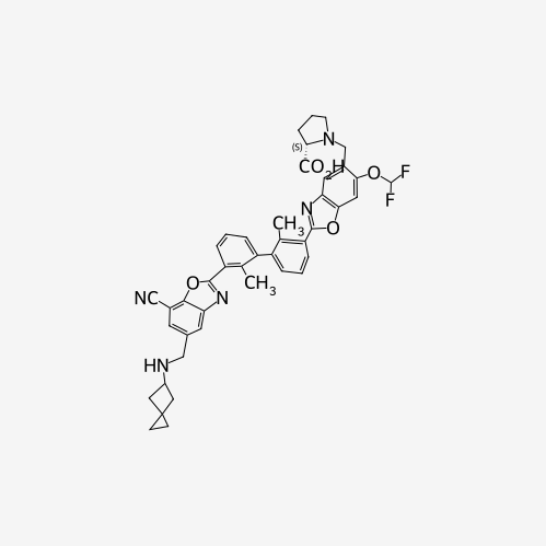 Cc1c(-c2nc3cc(CN4CCC[C@H]4C(=O)O)c(OC(F)F)cc3o2)cccc1-c1cccc(-c2nc3cc(CNC4CC5(CC5)C4)cc(C#N)c3o2)c1C